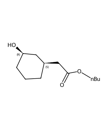 CCCCOC(=O)C[C@H]1CCC[C@@H](O)C1